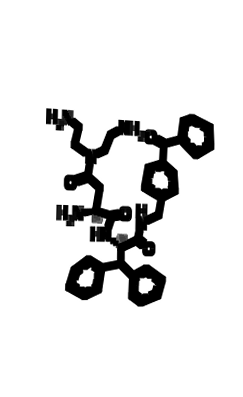 NCCN(CCN)C(=O)C[C@H](N)C(=O)N[C@H](C(=O)NCc1ccc(C(=O)c2ccccc2)cc1)C(c1ccccc1)c1ccccc1